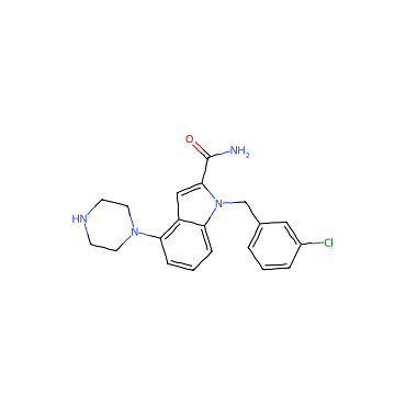 NC(=O)c1cc2c(N3CCNCC3)cccc2n1Cc1cccc(Cl)c1